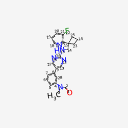 CN(C=O)c1cccc(-c2cnc(NCC3(c4ncccc4F)CCC3)nc2)c1